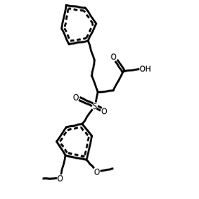 COc1ccc(S(=O)(=O)C(CCc2ccccc2)CC(=O)O)cc1OC